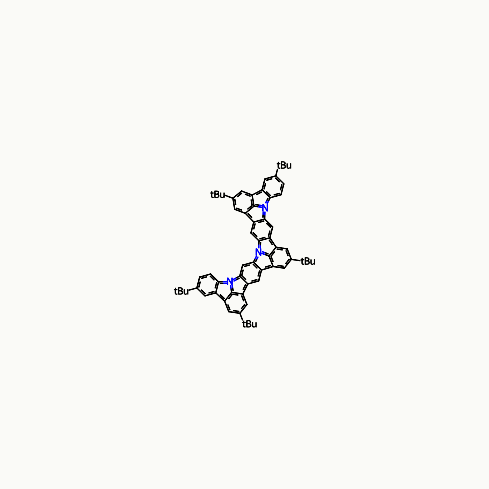 CC(C)(C)c1ccc2c(c1)c1cc(C(C)(C)C)cc3c4cc5c(cc4n2c13)c1cc(C(C)(C)C)cc2c3cc4c6cc(C(C)(C)C)cc7c8cc(C(C)(C)C)ccc8n(c4cc3n5c12)c76